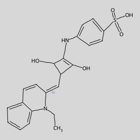 CCN1/C(=C/C2C(O)=C(Nc3ccc(S(=O)(=O)O)cc3)C2O)C=Cc2ccccc21